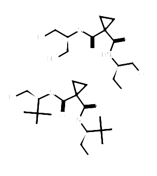 CC(C)C[C@@H](NC(=O)C1(C(=O)N[C@H](CC(C)C)C(C)(C)O)CC1)C(C)(C)O.CC(C)C[C@H](CO)NC(=O)C1(C(=O)N[C@@H](CO)CC(C)C)CC1